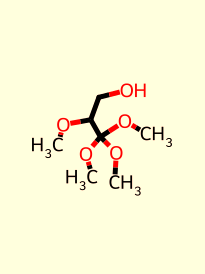 COC(CO)C(OC)(OC)OC